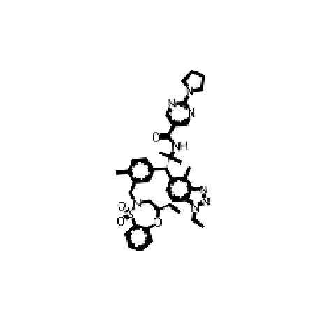 CC[C@@H]1CN(Cc2cc([C@@H](c3ccc4c(nnn4CC)c3C)C(C)(C)NC(=O)c3cnc(N4CCCC4)nc3)ccc2C)S(=O)(=O)c2ccccc2O1